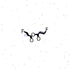 O=C(/C=C/F)OC(=O)/C=C/F